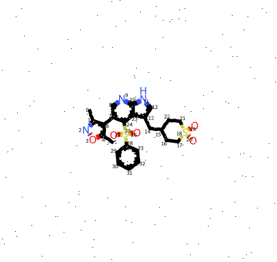 Cc1noc(C)c1-c1cnc2[nH]cc(CC3CCS(=O)(=O)CC3)c2c1S(=O)(=O)c1ccccc1